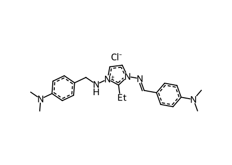 CCc1n(/N=C/c2ccc(N(C)C)cc2)cc[n+]1NCc1ccc(N(C)C)cc1.[Cl-]